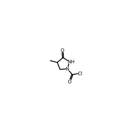 CC1CN(C(=O)Cl)NC1=O